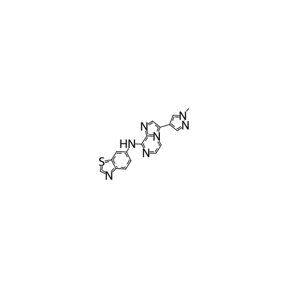 Cn1cc(-c2cnc3c(Nc4ccc5ncsc5c4)nccn23)cn1